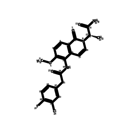 COc1ccc2c(=O)n([C@@H](C)C(N)=O)ccc2c1NC(=O)Cc1ccc(F)c(Cl)c1